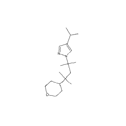 CC(C)c1cnn(C(C)(C)CC(C)(C)C2CCOCC2)c1